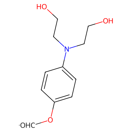 O=[C]Oc1ccc(N(CCO)CCO)cc1